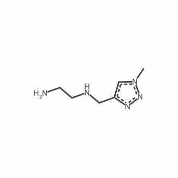 Cn1cc(CNCCN)nn1